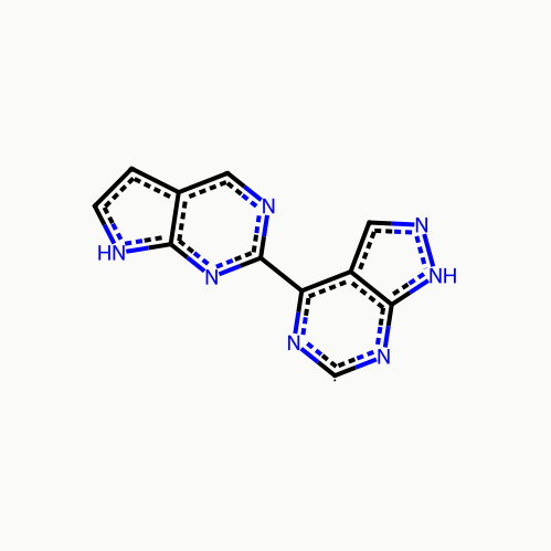 [c]1nc(-c2ncc3cc[nH]c3n2)c2cn[nH]c2n1